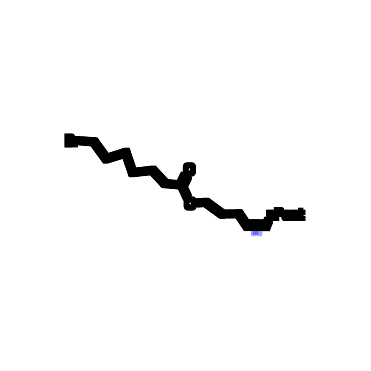 CCCCC/C=C\CCCOC(=O)CCCCCCBr